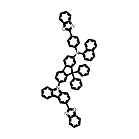 c1ccc(C2(c3ccccc3)c3cc(N(c4ccc(-c5nc6ccccc6o5)cc4)c4cccc5ccccc45)ccc3-c3ccc(-n4c5ccccc5c5cc(-c6nc7ccccc7o6)ccc54)cc32)cc1